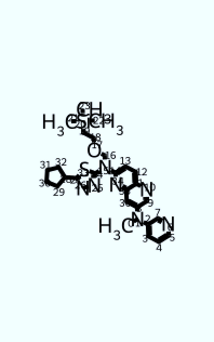 CN(c1cccnc1)c1cnc2ccc(N(COCC[Si](C)(C)C)c3nnc(C4CCCC4)s3)nc2c1